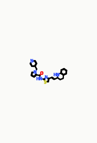 O=C(Nc1nc(C=CC2CCc3ccccc3N2)cs1)c1cccn1Cc1ccncc1